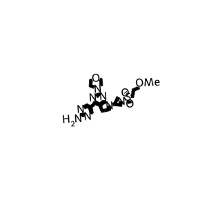 COCCCS(=O)(=O)N1CC(N2CCc3c(-c4cnc(N)nc4)nc(N4CCOCC4)nc32)C1